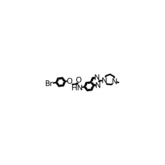 CN1CCCN(c2ncc3cc(NC(=O)COc4ccc(Br)cc4)ccc3n2)CC1